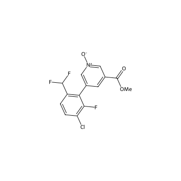 COC(=O)c1cc(-c2c(C(F)F)ccc(Cl)c2F)c[n+]([O-])c1